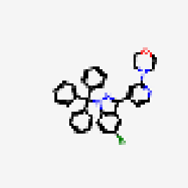 Brc1ccc2c(c1)c(-c1ccnc(N3CCOCC3)c1)nn2C(c1ccccc1)(c1ccccc1)c1ccccc1